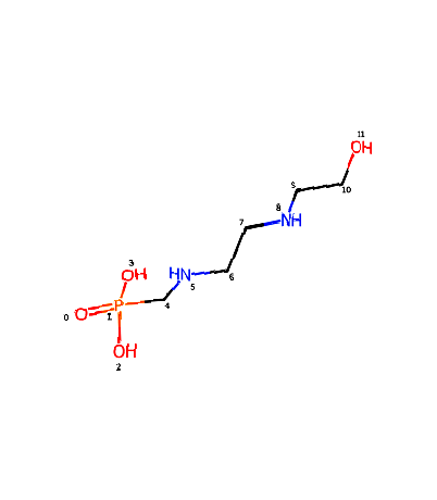 O=P(O)(O)CNCCNCCO